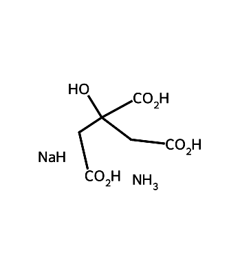 N.O=C(O)CC(O)(CC(=O)O)C(=O)O.[NaH]